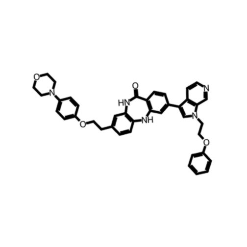 O=C1Nc2cc(CCOc3ccc(N4CCOCC4)cc3)ccc2Nc2cc(-c3cn(CCOc4ccccc4)c4cnccc34)ccc21